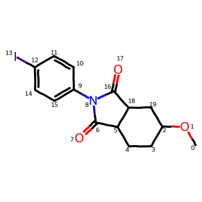 COC1CCC2C(=O)N(c3ccc(I)cc3)C(=O)C2C1